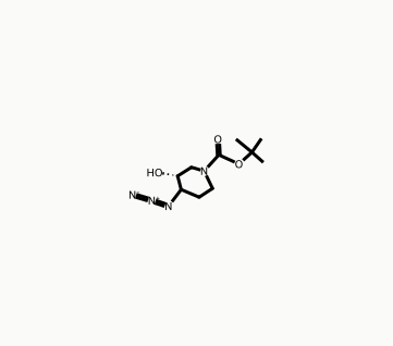 CC(C)(C)OC(=O)N1CCC(N=[N+]=[N-])[C@H](O)C1